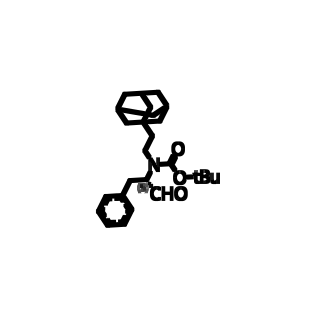 CC(C)(C)OC(=O)N(CCC12CC3CC(CC(C3)C1)C2)[C@H](C=O)Cc1ccccc1